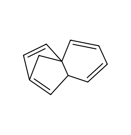 C1=CC2C=C3C=CC2(C=C1)C3